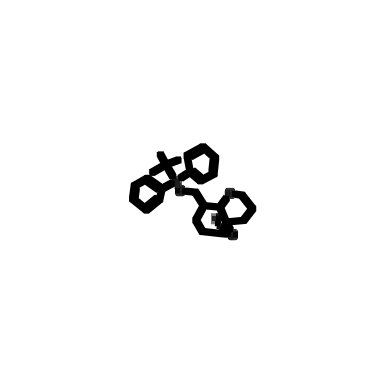 CC(C)(C)[Si](OCC1CC[C@@H]2OC23CCCOC13)(c1ccccc1)c1ccccc1